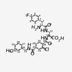 NC(Cc1ccc(F)cc1)C(=O)NC[C@H](NC(=O)c1ccc(C(=O)NCc2cccc(O)c2)cc1Cl)C(=O)O